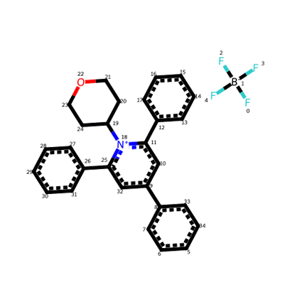 F[B-](F)(F)F.c1ccc(-c2cc(-c3ccccc3)[n+](C3CCOCC3)c(-c3ccccc3)c2)cc1